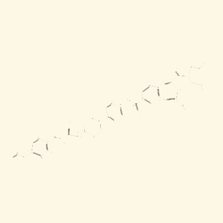 CCCN(CCC)C(=O)C1=Cc2ccc(C(=O)Nc3ccc(N4CCC(NC(=O)OCc5ccc(NC=O)cc5)CC4)nc3)cc2N=C(N)C1